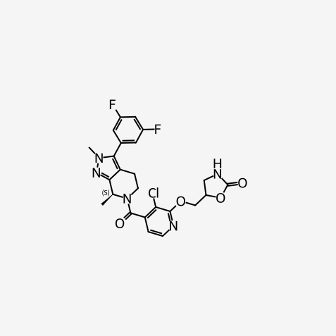 C[C@H]1c2nn(C)c(-c3cc(F)cc(F)c3)c2CCN1C(=O)c1ccnc(OCC2CNC(=O)O2)c1Cl